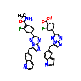 CNC(=O)c1ccc(-c2cnc3ncc(Cc4ccc5ncccc5c4)n3n2)cc1F.O=C(O)c1ccc(-c2cnc3ncc(Cc4ccc5ncccc5c4)n3n2)cc1F